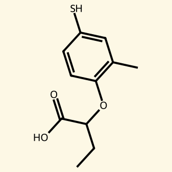 CCC(Oc1ccc(S)cc1C)C(=O)O